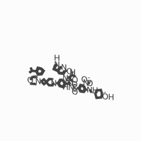 CC(C)c1ccccc1[C@H]1COCCN1C1CC2(CCN(c3ccc(C(=O)NS(=O)(=O)c4ccc(NC[C@H]5CC[C@](C)(O)CC5)c([N+](=O)[O-])c4)c(N4c5cc6cc[nH]c6nc5O[C@@H]5COC[C@H]54)c3)CC2)C1